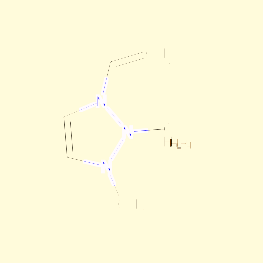 Br.C=CN1C=CN(C)N1C